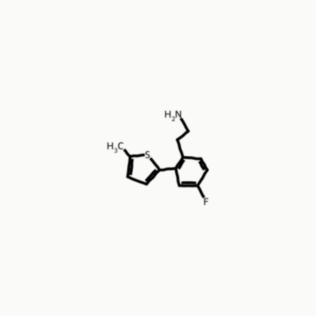 Cc1ccc(-c2cc(F)ccc2CCN)s1